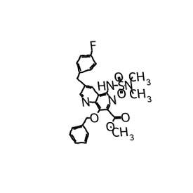 COC(=O)c1nc(NS(=O)(=O)N(C)C)c2cc(Cc3ccc(F)cc3)cnc2c1OCc1ccccc1